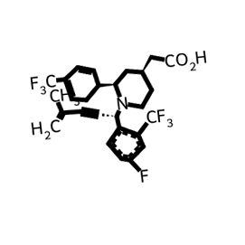 C=C(C)C#C[C@@H](c1ccc(F)cc1C(F)(F)F)N1CC[C@H](CC(=O)O)C[C@@H]1C1C=CC(C(F)(F)F)=CC1